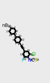 CCCCc1ccc(-c2ccc(C#Cc3cc(F)c(N=C=S)c(Cl)c3)cc2)cc1